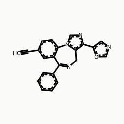 C#Cc1ccc2c(c1)C(c1ccccc1)=NCc1c(-c3cnco3)ncn1-2